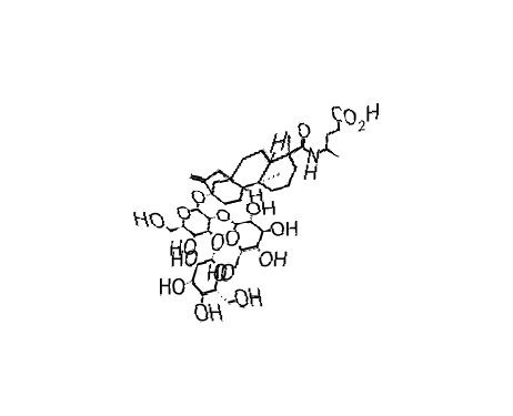 C=C1C[C@@]23CC[C@H]4[C@@](C)(CCC[C@@]4(C)C(=O)NC(C)CCC(=O)O)[C@@H]2CC[C@]1(O[C@@H]1O[C@H](CO)[C@@H](O)[C@H](O[C@@H]2O[C@H](CO)[C@@H](O)[C@H](O)[C@H]2O)[C@H]1O[C@@H]1O[C@H](CO)[C@@H](O)[C@H](O)[C@H]1O)C3